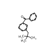 CC(C)(C)Cc1cccc(C(=O)c2ccccc2)c1